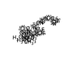 C[C@@H](C(=O)N[C@H](C(=O)N1CCN(C(=O)c2cc3cc(F)c(F)cc3n2CC(=O)N2CCC[C@H]2COc2cc(CN3CCC(Oc4ccnc5ccsc45)CC3)on2)[C@@H](C)C1)C1CCCCC1)N(C)C(=O)OC(C)(C)C